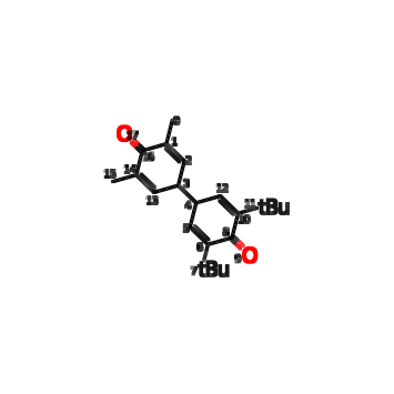 CC1=CC(C2C=C(C(C)(C)C)C(=O)C(C(C)(C)C)=C2)C=C(C)C1=O